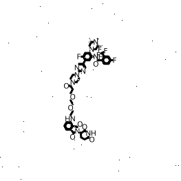 C[C@@H]1CN(c2cc(F)c(-c3cnc(N4CCN(C(=O)CCOCCOCCNc5cccc6c5C(=O)N(C5CCC(=O)NC5=O)C6=O)CC4)nc3)cc2NC(=O)c2ccc(F)cc2C(F)(F)F)C[C@H](C)N1C